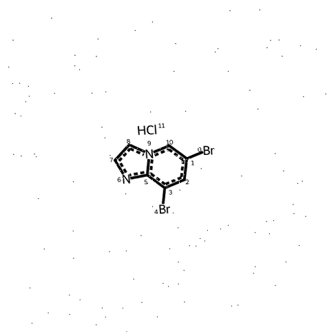 Brc1cc(Br)c2nccn2c1.Cl